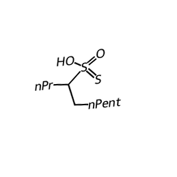 CCCCCCC(CCC)S(=O)(O)=S